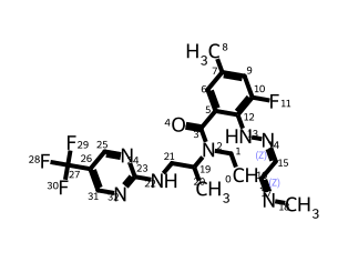 CCN(C(=O)c1cc(C)cc(F)c1N/N=C\C=N/C)C(C)CNc1ncc(C(F)(F)F)cn1